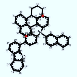 c1ccc(N(c2ccc(-c3cccc4c3oc3ccccc34)cc2)c2ccc3ccccc3c2)c(-c2cccc3cccc(C4CCCCC4)c23)c1